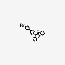 Brc1ccc(-c2ccc(-c3c4ccccc4cc4c3sc3ccccc34)cc2)cc1